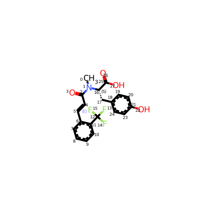 CN(C(=O)/C=C/c1ccccc1C(F)(F)F)[C@@H](Cc1ccc(O)cc1)C(=O)O